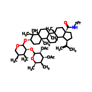 C=C(C)[C@@H]1CC[C@]2(C(=O)NCCC)CC[C@]3(C)C(CCC4[C@@]5(C)CC[C@H](O[C@@H]6OC[C@H](C)[C@H](C)[C@H]6OC6O[C@@H](C)[C@H](C)[C@@H](OC(C)=O)[C@H]6OC(C)=O)[C@@](C)(CC)[C@@H]5CC[C@]43C)C12